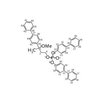 COC(C)(CCOP(=O)(Oc1ccc(-c2ccccc2)cc1)Oc1ccc(-c2ccccc2)cc1)c1ccc(-c2ccccc2)cc1